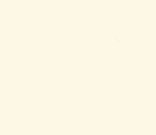 CC1CCCC=C1CB1Cc2cc(Cc3cccnc3)ccc2S1